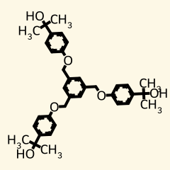 CC(C)(O)c1ccc(OCc2cc(COc3ccc(C(C)(C)O)cc3)cc(COc3ccc(C(C)(C)O)cc3)c2)cc1